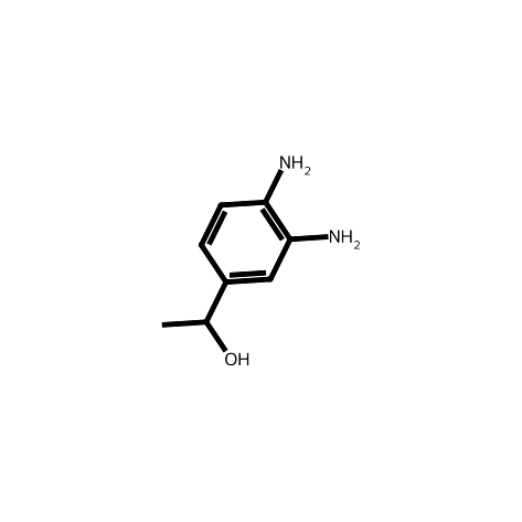 CC(O)c1ccc(N)c(N)c1